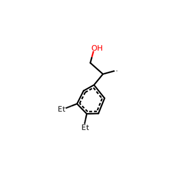 [CH2]C(CO)c1ccc(CC)c(CC)c1